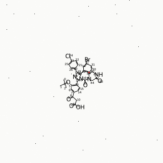 CC(C)(C)Oc1cc(C(=O)CC(=O)O)ccc1C1=N[C@@H](c2ccc(Cl)cc2)[C@@H](c2cccc(Br)c2)N1C(=O)N1CCNC(=O)C1